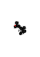 c1ccc(C2N=c3ccccc3=C(n3c4ccccc4c4cc(-c5ccc6c(c5)c5ccccc5n6-c5ccccc5)ccc43)N2)cc1